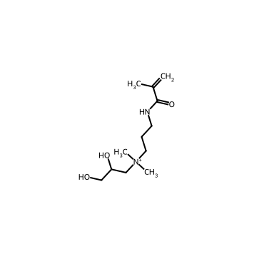 C=C(C)C(=O)NCCC[N+](C)(C)CC(O)CO